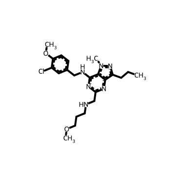 CCCc1nn(C)c2c(NCc3ccc(OC)c(Cl)c3)nc(CNCCCOC)nc12